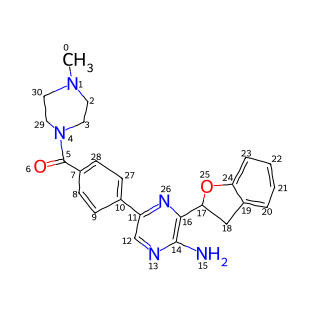 CN1CCN(C(=O)c2ccc(-c3cnc(N)c(C4Cc5ccccc5O4)n3)cc2)CC1